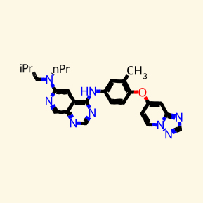 CCCN(CC(C)C)c1cc2c(Nc3ccc(Oc4ccn5ncnc5c4)c(C)c3)ncnc2cn1